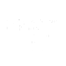 CC(=O)Nc1cc[nH]c(=O)n1.C[Si](C)(C)I.C[Si](C)(C)N[Si](C)(C)C.ClCCl